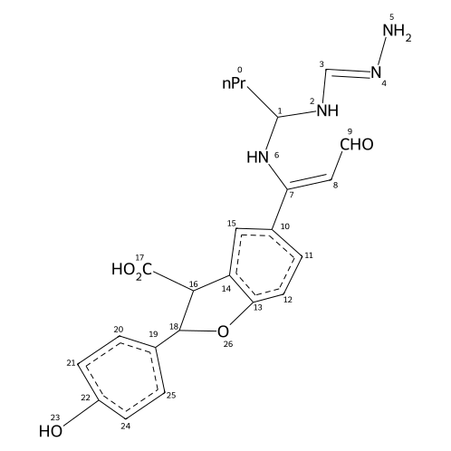 CCCC(NC=NN)NC(=CC=O)c1ccc2c(c1)C(C(=O)O)C(c1ccc(O)cc1)O2